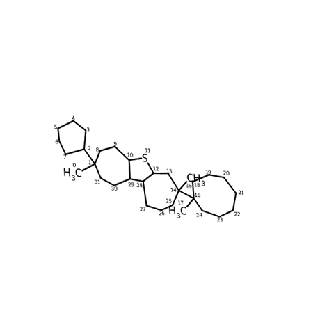 CC1(C2CCCCC2)CCC2SC3CC(C)(C4(C)CCCCCCC4)CCCC3C2CC1